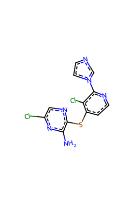 Nc1nc(Cl)cnc1Sc1ccnc(-n2ccnc2)c1Cl